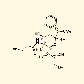 COC(=O)C1(S)O[C@@H]([C@H](O)[C@H](O)CO)[C@@](N)(NC(=O)CCC(C)=O)[C@@H](O)C1c1ccccc1